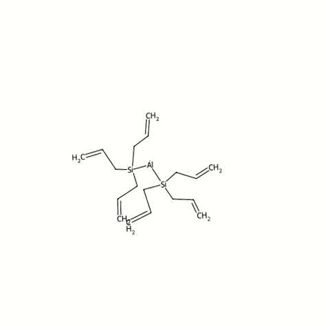 C=CC[Si](CC=C)(CC=C)[Al][Si](CC=C)(CC=C)CC=C